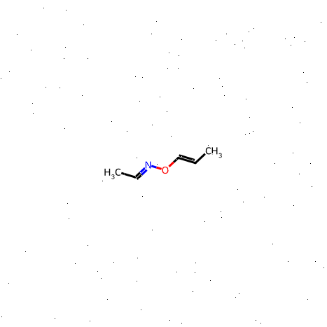 CC=CON=CC